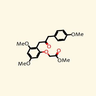 COC(=O)COc1cc(OC)cc(OC)c1CC(=O)Cc1ccc(OC)cc1